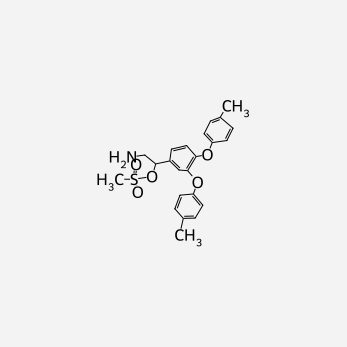 Cc1ccc(Oc2ccc(C(CN)OS(C)(=O)=O)cc2Oc2ccc(C)cc2)cc1